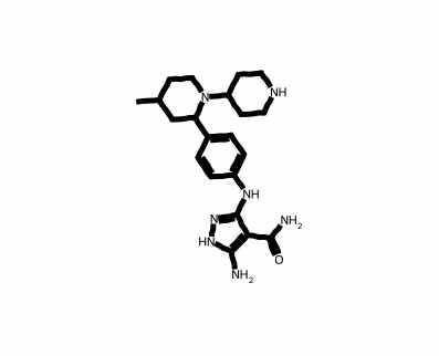 CC1CCN(C2CCNCC2)C(c2ccc(Nc3n[nH]c(N)c3C(N)=O)cc2)C1